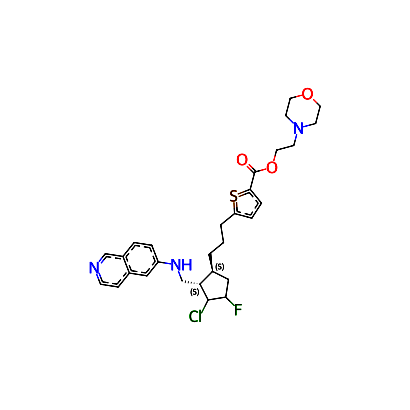 O=C(OCCN1CCOCC1)c1ccc(CCC[C@H]2CC(F)C(Cl)[C@@H]2CNc2ccc3cnccc3c2)s1